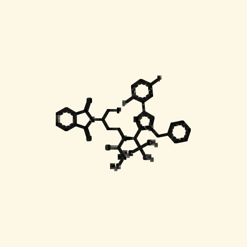 CNC(=O)N(CCC(CF)N1C(=O)c2ccccc2C1=O)[C@@H](c1nc(-c2cc(F)ccc2F)cn1Cc1ccccc1)C(C)(C)C